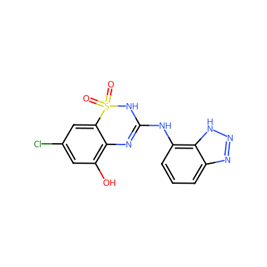 O=S1(=O)NC(Nc2cccc3nn[nH]c23)=Nc2c(O)cc(Cl)cc21